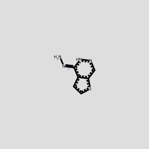 N/N=c1\[nH]ncc2sccc12